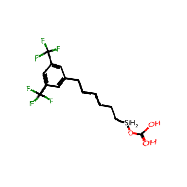 OC(O)O[SiH2]CCCCCCc1cc(C(F)(F)F)cc(C(F)(F)F)c1